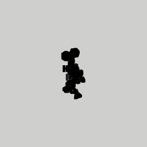 CCOC(=O)C(NC(=O)c1ccc(OC)c(OCC2CC2)c1)C(=O)C(C)NC(=O)OCC1c2ccccc2-c2ccccc21